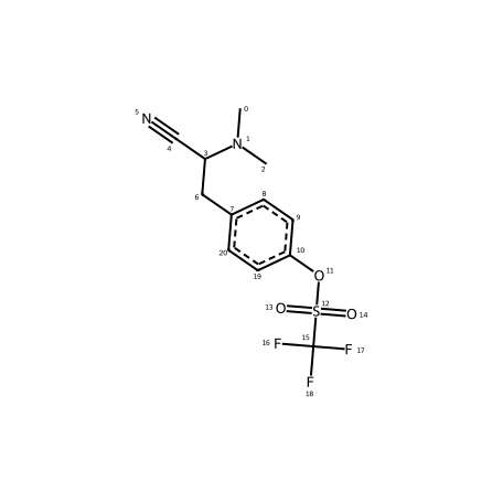 CN(C)C(C#N)Cc1ccc(OS(=O)(=O)C(F)(F)F)cc1